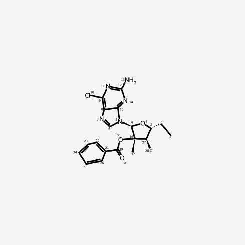 CC[C@H]1O[C@H](n2cnc3c(Cl)nc(N)nc32)[C@@](C)(OC(=O)c2ccccc2)[C@@H]1F